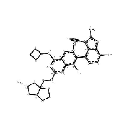 N#Cc1c(N)sc2c(F)ccc(-c3c(Cl)cc4c(OC5CCC5)nc(OCC56CCCN5C[C@H](F)C6)nc4c3F)c12